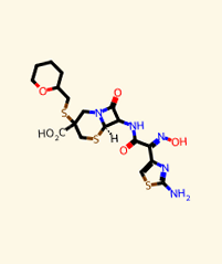 Nc1nc(C(=NO)C(=O)NC2C(=O)N3CC(SCC4CCCCO4)(C(=O)O)CS[C@H]23)cs1